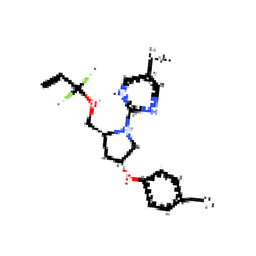 C=CC(F)(F)OC[C@@H]1C[C@@H](Oc2ccc(C(F)(F)F)cc2)CN1c1ncc(C(=O)OCC)cn1